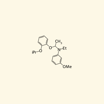 CCN(c1cccc(OC)c1)C(C)Oc1ccccc1OC(C)C